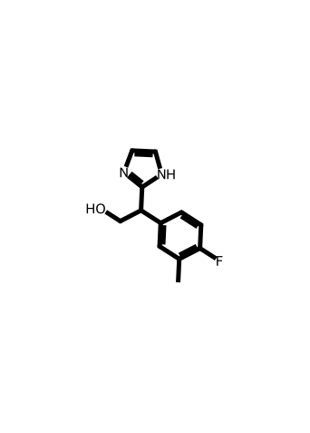 Cc1cc(C(CO)c2ncc[nH]2)ccc1F